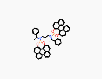 C[C@@H](c1ccccc1)N(CCCN([C@@H](C)c1ccccc1)p1oc2ccc3ccccc3c2c2c(ccc3ccccc32)o1)p1oc2ccc3ccccc3c2c2c(ccc3ccccc32)o1